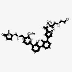 COc1nc(-c2cccc(-c3cccc(-c4cc5c(=O)n(C)c(CNCCO)nn5c4)c3Cl)c2Cl)ccc1CNC[C@H]1CCC(=O)N1